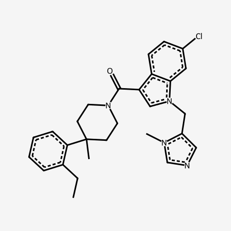 CCc1ccccc1C1(C)CCN(C(=O)c2cn(Cc3cncn3C)c3cc(Cl)ccc23)CC1